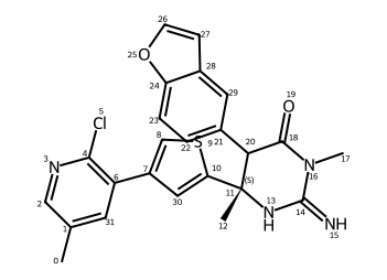 Cc1cnc(Cl)c(-c2csc([C@@]3(C)NC(=N)N(C)C(=O)C3c3ccc4occc4c3)c2)c1